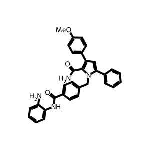 COc1ccc(-c2cc(-c3ccccc3)n(Cc3ccc(C(=O)Nc4ccccc4N)cc3)c2C(N)=O)cc1